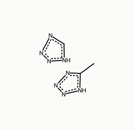 Cc1nnn[nH]1.c1nnn[nH]1